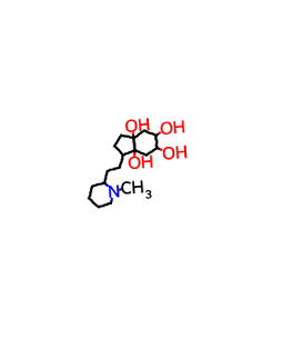 CN1CCCCC1CCC1CCC2(O)CC(O)C(O)CC12O